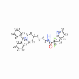 O=C(NCCCCC1CCN(C(c2ccccc2)c2ccccc2)CC1)C(F)(F)Cc1cccnc1